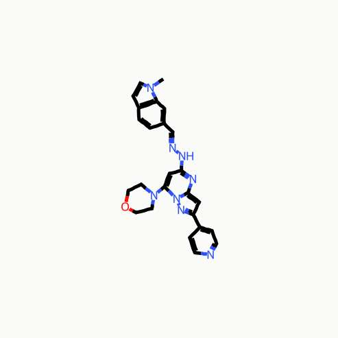 Cn1ccc2ccc(C=NNc3cc(N4CCOCC4)n4nc(-c5ccncc5)cc4n3)cc21